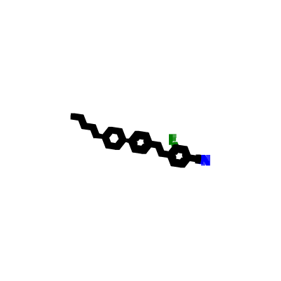 CCCCC[C@H]1CC[C@H](c2ccc(CCc3ccc(C#N)cc3F)cc2)CC1